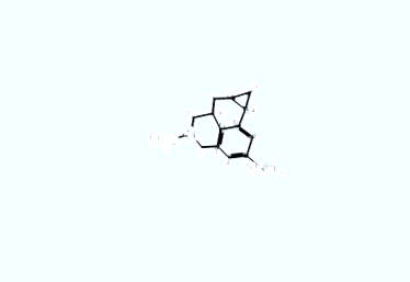 CN1Cc2cc(N)cc3c2C(CC2CC32)C1